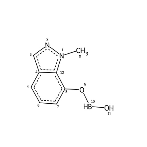 Cn1ncc2cccc(OBO)c21